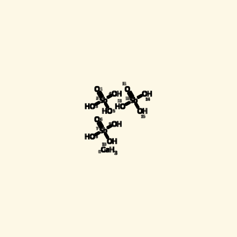 [GaH3].[O]=[Sb]([OH])([OH])[OH].[O]=[Sb]([OH])([OH])[OH].[O]=[Sb]([OH])([OH])[OH]